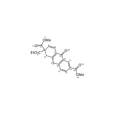 CCOC(=O)C1(C(=O)OC)C=Cc2c(sc3ccc(C(=O)OC)cc3c2=O)C1